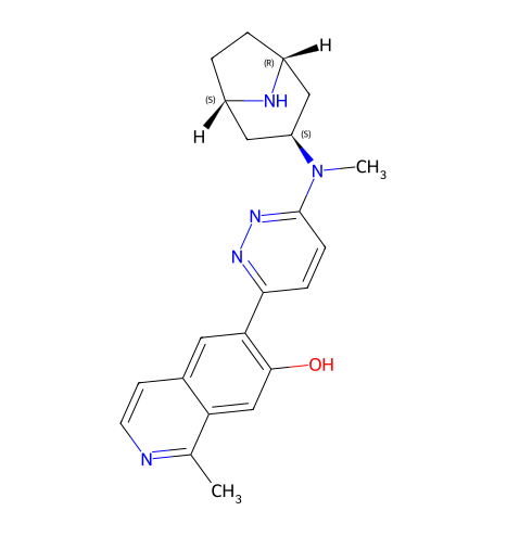 Cc1nccc2cc(-c3ccc(N(C)[C@@H]4C[C@H]5CC[C@@H](C4)N5)nn3)c(O)cc12